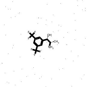 C[C@H](N)[C@@H](O)c1cc(C(F)(F)F)cc(C(F)(F)F)c1